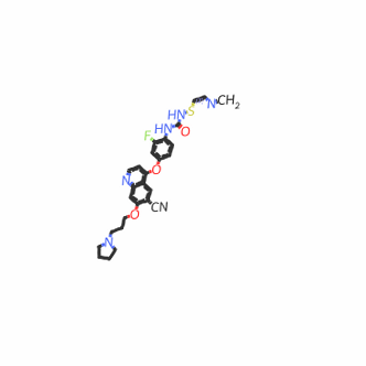 C=N/C=C\SNC(=O)Nc1ccc(Oc2ccnc3cc(OCCCN4CCCC4)c(C#N)cc23)cc1F